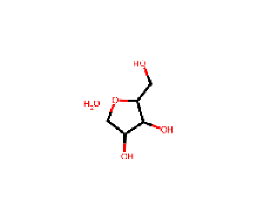 O.OCC1OCC(O)C1O